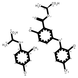 C[C@H](OC(=O)c1cc(Oc2ccc(C(F)(F)F)cc2Cl)ccc1Cl)C(=O)O.Cc1cc(Cl)ccc1OC(C)C(=O)O